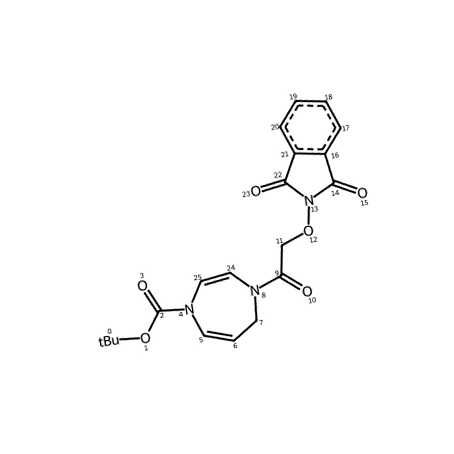 CC(C)(C)OC(=O)N1C=CCN(C(=O)CON2C(=O)c3ccccc3C2=O)C=C1